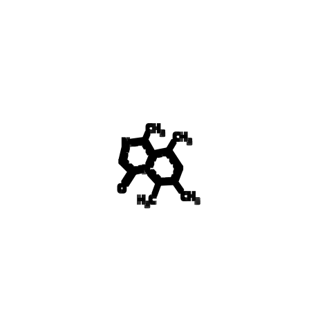 Cc1cc(C)c2c(C)ncc(=O)n2c1C